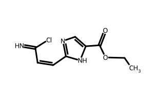 CCOC(=O)c1cnc(/C=C\C(=N)Cl)[nH]1